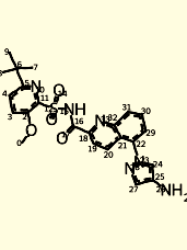 COc1ccc(C(C)(C)C)nc1S(=O)(=O)NC(=O)c1ccc2c(-n3cc(N)cn3)cccc2n1